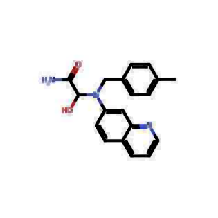 Cc1ccc(CN(c2ccc3cccnc3c2)C(O)C(N)=O)cc1